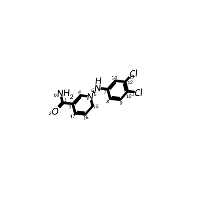 NC(=O)C1=CN(Nc2ccc(Cl)c(Cl)c2)CC=C1